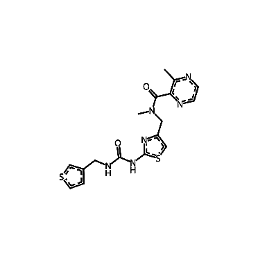 Cc1nccnc1C(=O)N(C)Cc1csc(NC(=O)NCc2ccsc2)n1